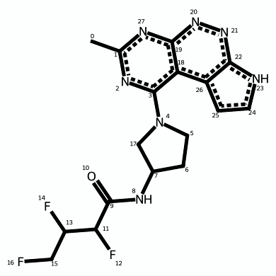 Cc1nc(N2CCC(NC(=O)C(F)C(F)CF)C2)c2c(nnc3[nH]ccc32)n1